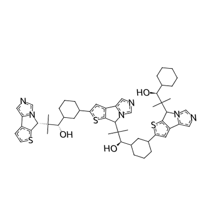 CC(C)(C1c2sc(C3CCCC([C@H](O)C(C)(C)[C@@H]4c5sccc5-c5cncn54)C3)cc2-c2cncn21)[C@H](O)C1CCCC(c2cc3c(s2)C(C(C)(C)[C@@H](O)C2CCCCC2)n2cncc2-3)C1